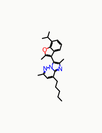 CCCCCc1cc(C)nn2c(-c3c(C)oc4c(C(C)C)cccc34)c(C)nc12